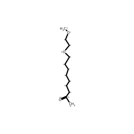 COCCOCCCCCCCC(C)=O